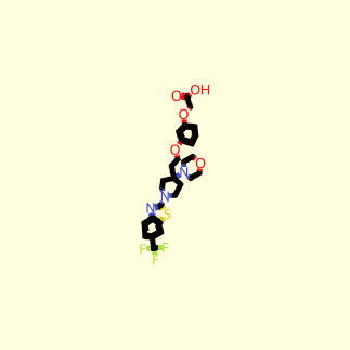 O=C(O)COc1cccc(OCCC2(N3CCOCC3)CCN(c3nc4ccc(C(F)(F)F)cc4s3)CC2)c1